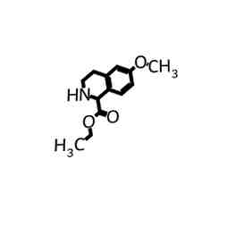 CCOC(=O)C1NCCc2cc(OC)ccc21